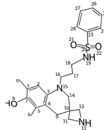 Cc1cc2c(c(C)c1O)CC1(CNC1)CN2CCCNS(=O)(=O)c1ccccc1